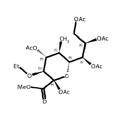 CCO[C@H]1[C@H](OC(C)=O)[C@@H](C)[C@H]([C@H](OC(C)=O)[C@@H](COC(C)=O)OC(C)=O)O[C@]1(OC(C)=O)C(=O)OC